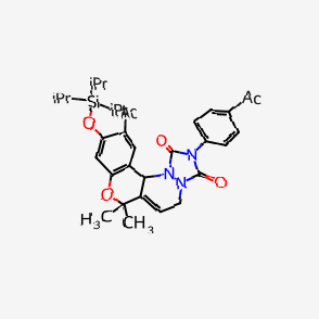 CC(=O)c1ccc(-n2c(=O)n3n(c2=O)C2C(=CC3)C(C)(C)Oc3cc(O[Si](C(C)C)(C(C)C)C(C)C)c(C(C)=O)cc32)cc1